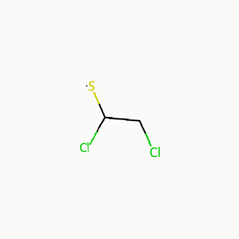 [S]C(Cl)CCl